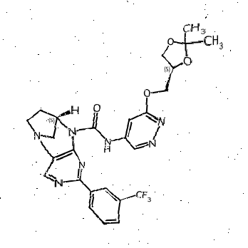 CC1(C)OC[C@H](COc2cc(NC(=O)N3c4nc(-c5cccc(C(F)(F)F)c5)ncc4N4CC[C@H]3C4)cnn2)O1